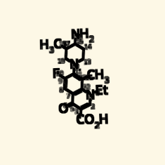 CCn1cc(C(=O)O)c(=O)c2cc(F)c(N3CCC(N)C(C)C3)c(C)c21